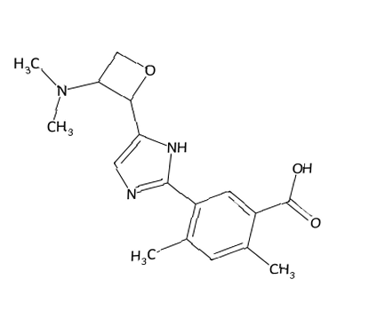 Cc1cc(C)c(-c2ncc(C3OCC3N(C)C)[nH]2)cc1C(=O)O